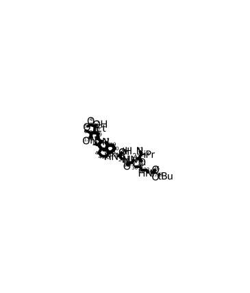 CC[C@@]1(O)C(=O)OCc2c1cc1n(c2=O)Cc2c-1nc1ccc(NC(=O)CNC(=O)[C@H](CCCCNC(=O)OC(C)(C)C)NC(=O)[C@@H](N)C(C)C)c3c1c2CCC3